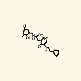 Cc1cc(Cl)cc(CNC(=O)Cn2c(=O)c(NCCc3ccccc3)cn(C)c2=O)c1O